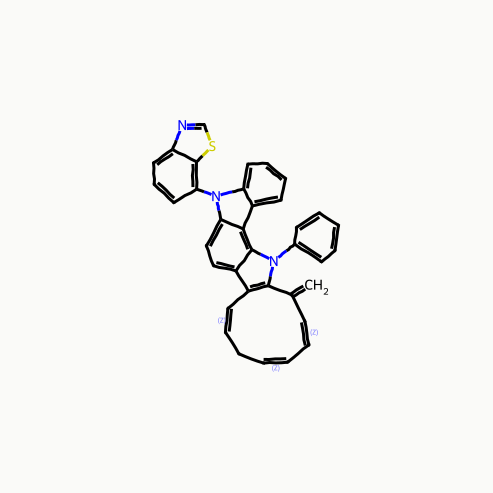 C=C1/C=C\C=C/C/C=C\c2c1n(-c1ccccc1)c1c2ccc2c1c1ccccc1n2-c1cccc2ncsc12